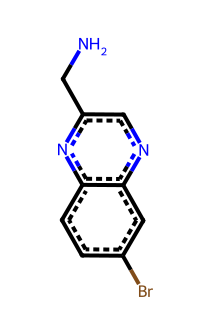 NCc1cnc2cc(Br)ccc2n1